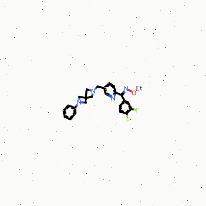 CCO/N=C(\c1ccc(F)c(F)c1)c1ccc(CN2CC3(C2)CN(c2ccccc2)C3)cn1